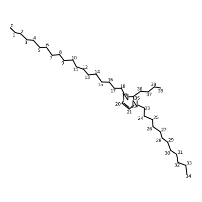 CCCCCCCCCCCCCCCCCCCN1C=CN(CCCCCCCCCCCC)C1CCCC